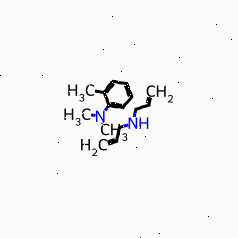 C=CCNCC=C.Cc1ccccc1N(C)C